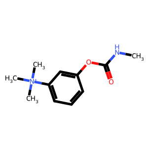 CNC(=O)Oc1cccc([N+](C)(C)C)c1